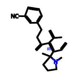 C=C/C(=C(\C(=C)C)C(=C)CCc1cccc(C#N)c1)C1(C)CCCN1C